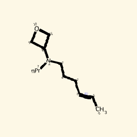 C/C=C/CCCN(CCC)C1COC1